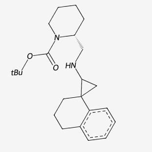 CC(C)(C)OC(=O)N1CCCC[C@@H]1CNC1CC12CCCc1ccccc12